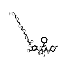 CN1CCC(N(C)c2nc(C3CCCCCC3)nc(N(N)c3ccc(OC(=O)CCOCCOCCOCCOCCO)c(Cl)c3)n2)CC1